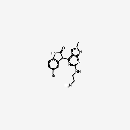 Cn1cc2c(C3C(=O)Nc4ccc(Br)cc43)nc(NCCN)nc2n1